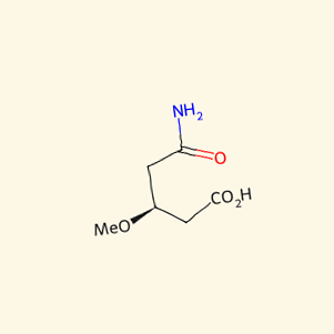 CO[C@@H](CC(N)=O)CC(=O)O